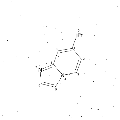 CC(C)c1ccn2ccnc2c1